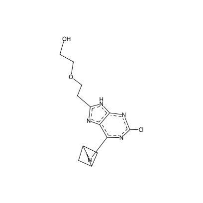 OCCOCCc1nc2c(N3CC4CC3C4)nc(Cl)nc2[nH]1